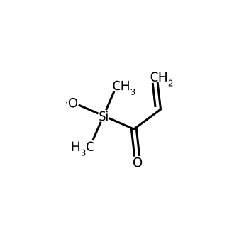 C=CC(=O)[Si](C)(C)[O]